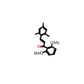 COc1cccc(OC)c1C(=O)/C=C/c1c(C)cc(C)cc1C